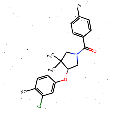 CC(C)c1ccc(C(=O)N2C[C@H](Oc3ccc(C#N)c(Cl)c3)C(C)(C)C2)cc1